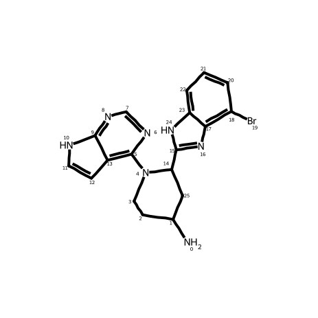 NC1CCN(c2ncnc3[nH]ccc23)C(c2nc3c(Br)cccc3[nH]2)C1